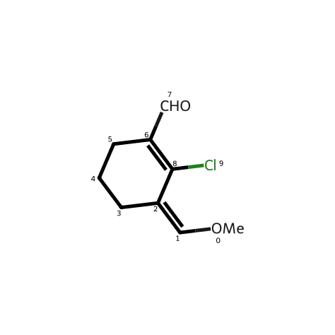 CO/C=C1/CCCC(C=O)=C1Cl